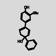 CC(C)(C)c1cc(C2=CCC(O)(c3ccccc3)C=C2)ccc1O